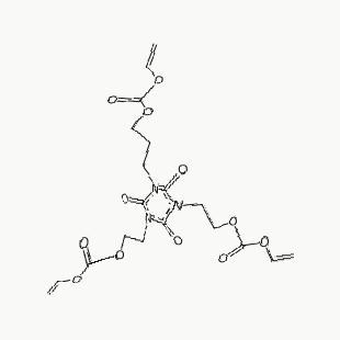 C=COC(=O)OCCCn1c(=O)n(CCOC(=O)OC=C)c(=O)n(CCOC(=O)OC=C)c1=O